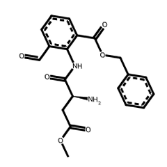 COC(=O)C[C@H](N)C(=O)Nc1c(C=O)cccc1C(=O)OCc1ccccc1